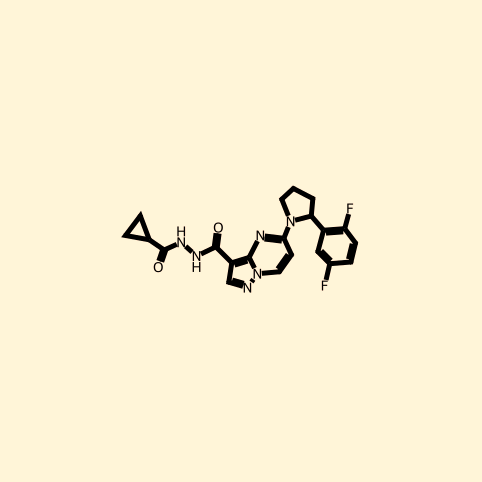 O=C(NNC(=O)C1CC1)c1cnn2ccc(N3CCCC3c3cc(F)ccc3F)nc12